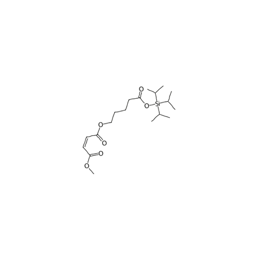 COC(=O)/C=C\C(=O)OCCCCC(=O)O[Si](C(C)C)(C(C)C)C(C)C